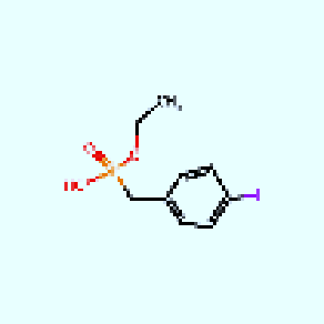 CCOP(=O)(O)Cc1ccc(I)cc1